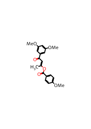 COc1ccc(C(=O)O/C(C)=C/C(=O)c2cc(OC)cc(OC)c2)cc1